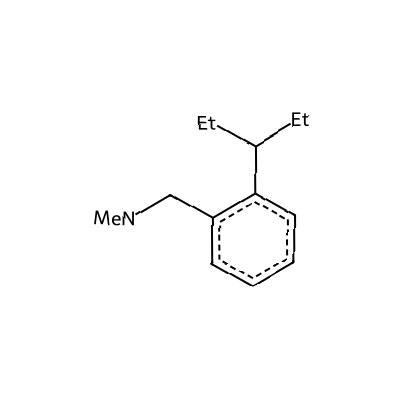 CCC(CC)c1ccccc1CNC